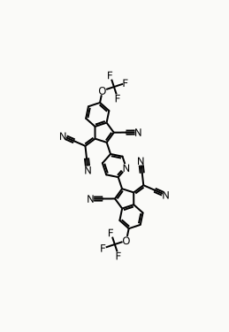 N#CC(C#N)=C1C(c2ccc(C3=C(C#N)c4cc(OC(F)(F)F)ccc4C3=C(C#N)C#N)nc2)=C(C#N)c2cc(OC(F)(F)F)ccc21